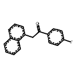 O=C(Cc1cccc2ccccc12)c1ccc(F)cc1